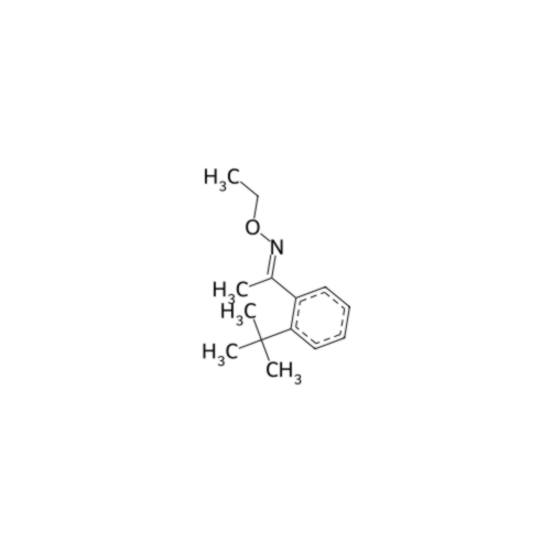 CCO/N=C(\C)c1ccccc1C(C)(C)C